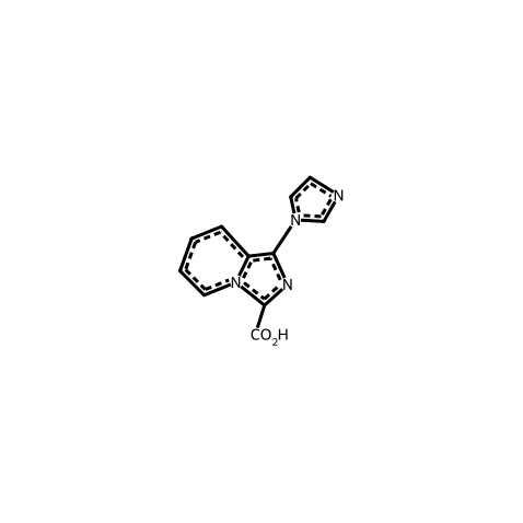 O=C(O)c1nc(-n2ccnc2)c2ccccn12